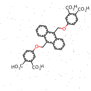 O=C(O)c1ccc(OCc2c3ccccc3c(COc3ccc(C(=O)O)c(C(=O)O)c3)c3ccccc23)cc1C(=O)O